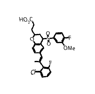 COc1cc(S(=O)(=O)C2CC(CCC(=O)O)Oc3ccc(C=C(C)c4c(F)cccc4Cl)cc32)ccc1F